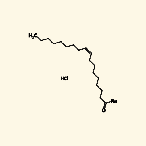 CCCCCCCC/C=C\CCCCCCC[C](=O)[Na].Cl